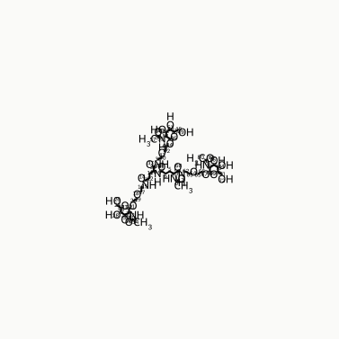 CC(=O)NC(CCC(=O)NC(CCC(=O)NCCOCCOC1OC(CO)C(O)C(O)C1NC(C)=O)C(=O)NCCOCCOC1OC(CO)C(O)C(O)C1NC(C)=O)C(=O)NCCOCCOC1OC(CO)C(O)C(O)C1NC(C)=O